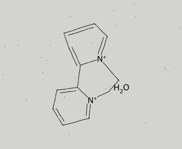 O.c1cc[n+]2c(c1)-c1cccc[n+]1CC2